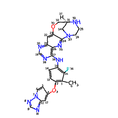 Cc1c(Oc2ccn3ncnc3c2)ccc(Nc2ncnc3cc4c(nc23)N2CCN[C@H](CO4)C2)c1F